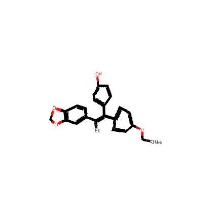 CC/C(=C(/c1ccc(O)cc1)c1ccc(OCOC)cc1)c1ccc2c(c1)OCO2